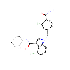 CNC(=O)c1ccc(Cn2cc(C(=O)N[C@H]3CCCC[C@@H]3O)c3c(F)cccc32)cc1F